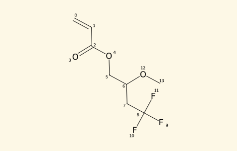 C=CC(=O)OCC(CC(F)(F)F)OC